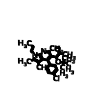 CCCn1c(C)c(C)c2c(-c3ccc(Cl)cc3)c(C(OC(C)(C)C)C(C)=O)c(C)nc21